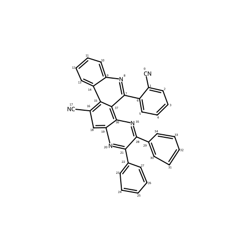 N#Cc1ccccc1-c1nc2ccccc2c2c(C#N)cc3nc(-c4ccccc4)c(-c4ccccc4)nc3c12